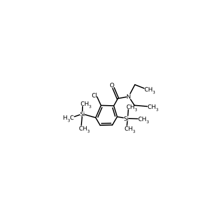 CCN(CC)C(=O)c1c([Si](C)(C)C)ccc([Si](C)(C)C)c1Cl